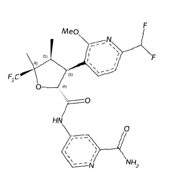 COc1nc(C(F)F)ccc1[C@H]1[C@H](C(=O)Nc2ccnc(C(N)=O)c2)O[C@@](C)(C(F)(F)F)[C@H]1C